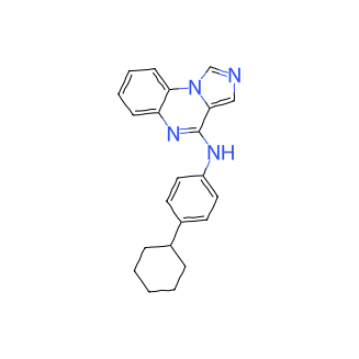 c1ccc2c(c1)nc(Nc1ccc(C3CCCCC3)cc1)c1cncn12